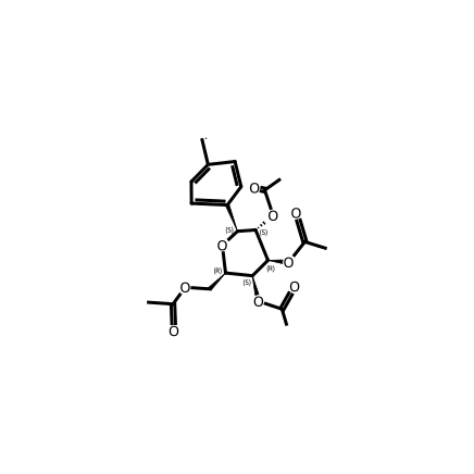 [CH2]c1ccc([C@@H]2O[C@H](COC(C)=O)[C@H](OC(C)=O)[C@H](OC(C)=O)[C@H]2OC(C)=O)cc1